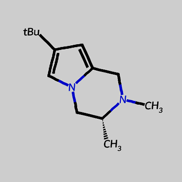 C[C@@H]1Cn2cc(C(C)(C)C)cc2CN1C